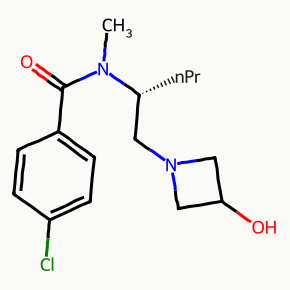 CCC[C@H](CN1CC(O)C1)N(C)C(=O)c1ccc(Cl)cc1